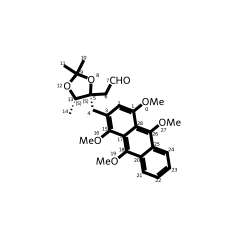 COc1cc(C[C@@]2(CC=O)OC(C)(C)O[C@H]2C)c(OC)c2c(OC)c3ccccc3c(OC)c12